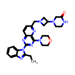 CCc1nc2ccccc2n1-c1nc(N2CCOCC2)c2nc(CN3CC(N4CCNC(=O)C4)C3)ccc2n1